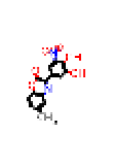 Cc1ccc2oc(=O)c(-c3cc(O)c(O)c([N+](=O)[O-])c3)nc2c1